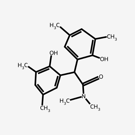 Cc1cc(C)c(O)c(C(C(=O)N(C)C)c2cc(C)cc(C)c2O)c1